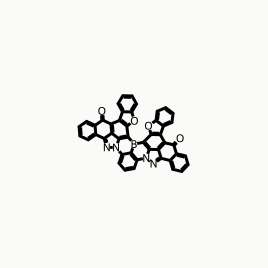 O=C1c2ccccc2-c2nn3c4c(c5oc6ccccc6c5c1c24)B1c2c-3cccc2-n2nc3c4c(c5c(oc6ccccc65)c1c42)C(=O)c1ccccc1-3